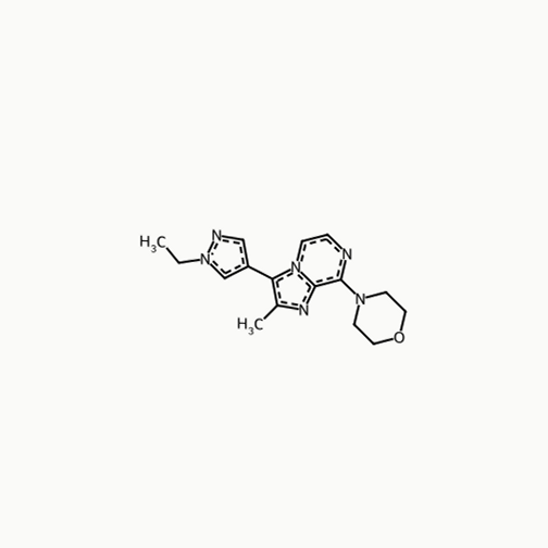 CCn1cc(-c2c(C)nc3c(N4CCOCC4)nccn23)cn1